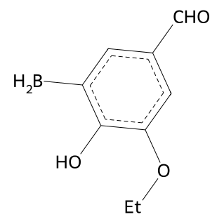 Bc1cc(C=O)cc(OCC)c1O